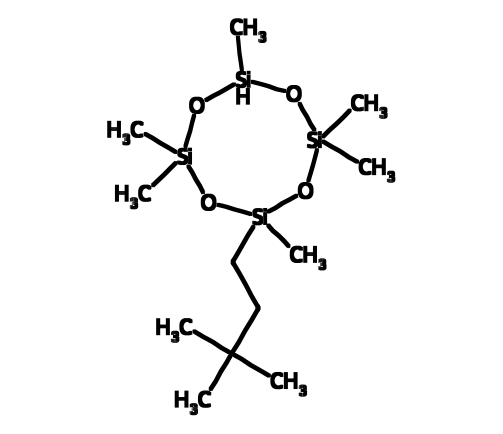 C[SiH]1O[Si](C)(C)O[Si](C)(CCC(C)(C)C)O[Si](C)(C)O1